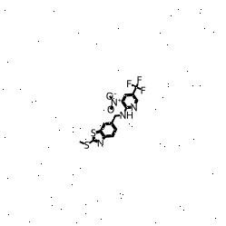 CSc1nc2ccc(CNc3ncc(C(F)(F)F)cc3[N+](=O)[O-])cc2s1